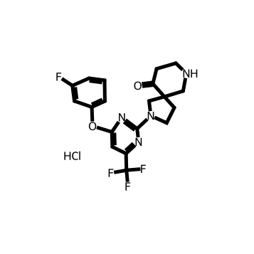 Cl.O=C1CCNCC12CCN(c1nc(Oc3cccc(F)c3)cc(C(F)(F)F)n1)C2